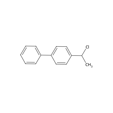 CC(Cl)c1ccc(-c2ccccc2)cc1